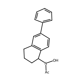 CC(=O)N(O)C1CCCc2cc(-c3ccccc3)ccc21